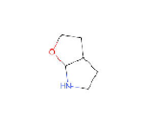 C1CC2CCOC2N1